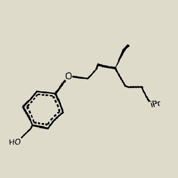 CC(C)CC[C@H](C)CCOc1ccc(O)cc1